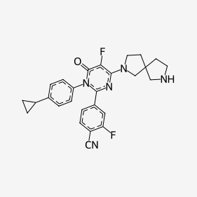 N#Cc1ccc(-c2nc(N3CCC4(CCNC4)C3)c(F)c(=O)n2-c2ccc(C3CC3)cc2)cc1F